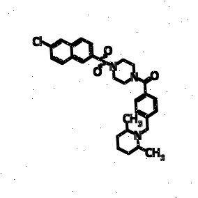 CC1CCCC(C)N1Cc1ccc(C(=O)N2CCN(S(=O)(=O)c3ccc4cc(Cl)ccc4c3)CC2)cc1